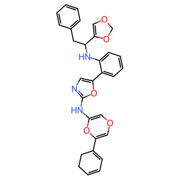 C1=CCCC(C2=COC=C(Nc3ncc(-c4ccccc4NC(Cc4ccccc4)C4=COCO4)o3)O2)=C1